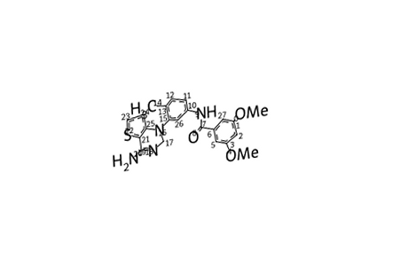 COc1cc(OC)cc(C(=O)Nc2ccc(C)c(N3CN=C(N)c4sccc43)c2)c1